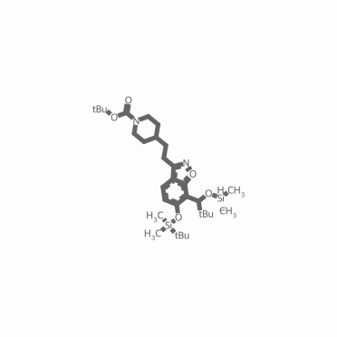 C[SiH](C)OC(c1c(O[Si](C)(C)C(C)(C)C)ccc2c(CCC3CCN(C(=O)OC(C)(C)C)CC3)noc12)C(C)(C)C